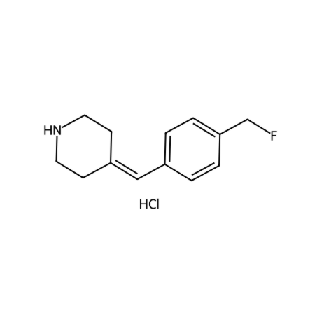 Cl.FCc1ccc(C=C2CCNCC2)cc1